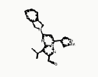 CC(C)c1c(C=O)nn2c(-c3cn[nH]c3)cc(N3Cc4ccccc4C3)nc12